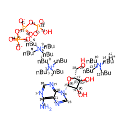 CCCC[N+](CCCC)(CCCC)CCCC.CCCC[N+](CCCC)(CCCC)CCCC.CCCC[N+](CCCC)(CCCC)CCCC.Nc1ncnc2c1ncn2[C@@H]1O[C@H](CO)[C@@H](O)[C@H]1O.O=P([O-])([O-])OP(=O)([O-])OP(=O)([O-])O.[H+]